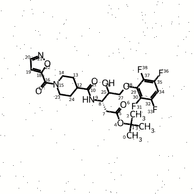 CC(C)(C)OC(=O)C[C@H](NC(=O)C1CCN(C(=O)c2ccno2)CC1)C(O)COc1c(F)c(F)cc(F)c1F